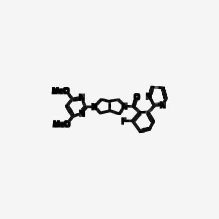 COc1cc(OC)nc(N2CC3CN(C(=O)c4c(F)cccc4-c4ncccn4)CC3C2)n1